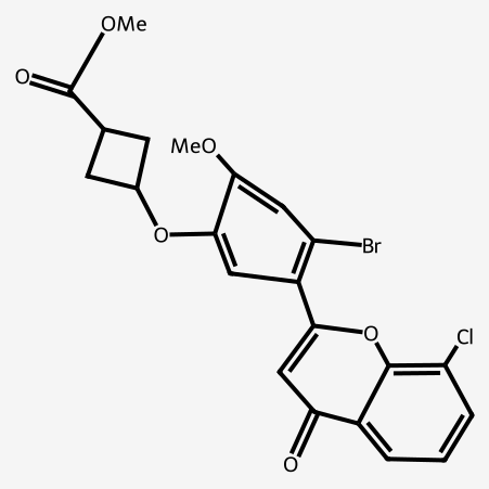 COC(=O)C1CC(Oc2cc(-c3cc(=O)c4cccc(Cl)c4o3)c(Br)cc2OC)C1